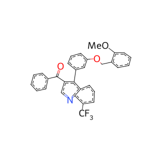 COc1ccccc1COc1cccc(-c2c(C(=O)c3ccccc3)cnc3c(C(F)(F)F)cccc23)c1